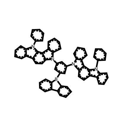 c1ccc(-n2c3ccccc3c3ccc4c(c5ccccc5n4-c4cc(B5c6ccccc6-c6ccccc65)cc(-n5c6ccccc6c6c5ccc5c7ccccc7n(-c7ccccc7)c56)c4)c32)cc1